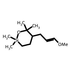 CO/C=C/CC1CC[Si](C)(C)OC1(C)C